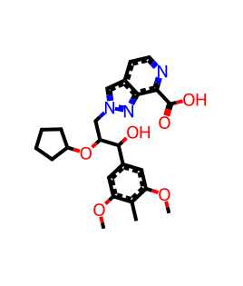 COc1cc(C(O)C(Cn2cc3ccnc(C(=O)O)c3n2)OC2CCCC2)cc(OC)c1C